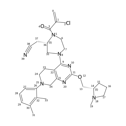 C=C(Cl)C(=O)N1CCN(c2nc(OC[C@@H]3CCCN3C)nc3c2CCN(c2cccc(C)c2C)C3)C[C@@H]1CC#N